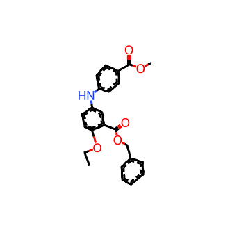 CCOc1ccc(Nc2ccc(C(=O)OC)cc2)cc1C(=O)OCc1ccccc1